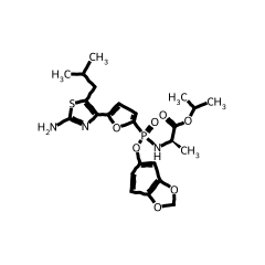 CC(C)Cc1sc(N)nc1-c1ccc(P(=O)(N[C@H](C)C(=O)OC(C)C)Oc2ccc3c(c2)OCO3)o1